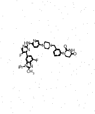 Cc1nc2c(F)cc(-c3nc(Nc4ccc(N5CCN(Cc6cccc(N7CCC(=O)NC7=O)c6)CC5)cn4)ncc3F)cc2n1C(C)C